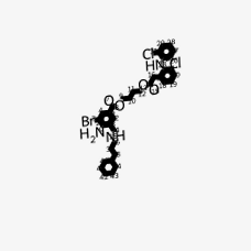 Nc1c(Br)cc(C(=O)OCCCCOC(=O)Cc2ccccc2Nc2c(Cl)cccc2Cl)cc1CNCCCC1CCCCC1